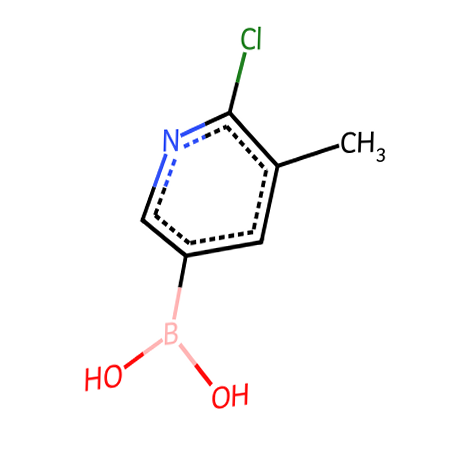 Cc1cc(B(O)O)cnc1Cl